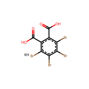 O=C(O)c1c(Br)c(Br)c(Br)c(Br)c1C(=O)O.[KH]